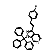 Fc1ccc(C=Cc2nn(C(c3ccccc3)(c3ccccc3)c3ccccc3)c3cn[c]cc23)cc1